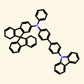 C1=CC2=C(CC1)C1(C3=C(C=CCC3)c3ccc(N(c4ccccc4)c4ccc(-c5ccc(-n6c7ccccc7c7ccccc76)cc5)cc4)cc31)c1ccccc12